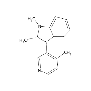 Cc1ccncc1N1c2ccccc2N(C)[C@H]1C